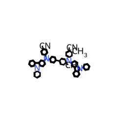 CC1CC(N(c2ccc3c(c2)c2ccccc2n3-c2ccccc2)C2(C)C=CC(c3ccc(N(c4ccc(C#N)cc4)c4ccc5c(c4)c4ccccc4n5C4C=CC=CC4)cc3)=CC2)=CC=C1C#N